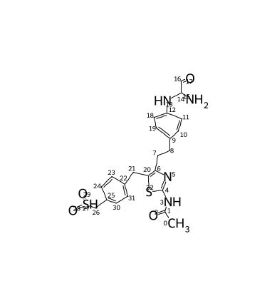 CC(=O)Nc1nc(CCc2ccc(NC(N)C=O)cc2)c(Cc2ccc(C[SH](=O)=O)cc2)s1